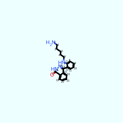 NCCCCCNc1ccccc1-c1n[nH]c(=O)c2ccccc12